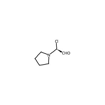 O=C[C@H](Cl)N1CCCC1